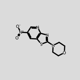 O=[N+]([O-])c1cnc2nc(N3CCOCC3)sc2c1